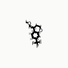 CON=C1CCOc2cc(C(F)(F)F)ccc21